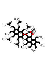 CCc1c(CC)c(CC)c2c(CC)c(Oc3c(COC(C)=O)c(COC(C)=O)c4c(COC(C)=O)c(COC(C)=O)c(CC)c(COC(C)=O)c4c3COC(C)=O)c(CC)c(CC)c2c1CC